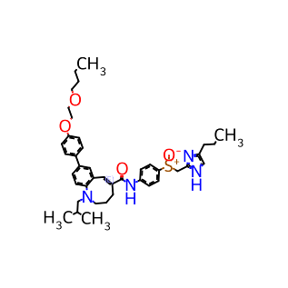 CCCCOCCOc1ccc(-c2ccc3c(c2)/C=C(/C(=O)Nc2ccc([S+]([O-])Cc4nc(CCC)c[nH]4)cc2)CCCN3CC(C)C)cc1